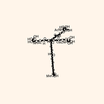 COP(=O)(O)OCCOCCOCCOCCOCCC(=O)NCCOCCOCCC(=O)NC(COCCC(=O)NCCOCCO[C@@H]1O[C@H](CO)[C@H](O)[C@H](O)[C@H]1NC(C)=O)(COCCC(=O)NCCOCCO[C@@H]1O[C@H](CO)[C@H](O)[C@H](O)[C@H]1NC(C)=O)COCCC(=O)NCCOCCO[C@@H]1O[C@H](CO)[C@H](O)[C@H](O)[C@H]1NC(C)=O